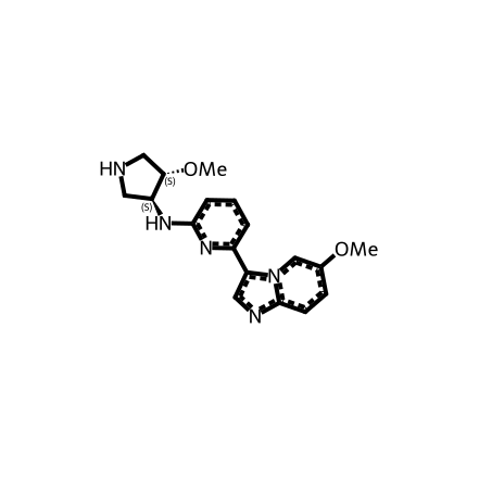 COc1ccc2ncc(-c3cccc(N[C@H]4CNC[C@@H]4OC)n3)n2c1